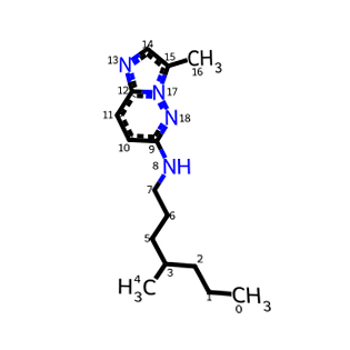 CCCC(C)CCCNc1ccc2ncc(C)n2n1